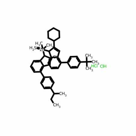 CCC(C)c1ccc(-c2cccc3c2C=C(C)[CH]3[Zr]([CH3])([CH3])(=[SiH2])[CH]2C(C3CCCCC3)=Cc3c(-c4ccc(C(C)(C)C)cc4)cccc32)cc1.Cl.Cl